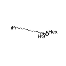 CCCCCCOC(CO)COCCCCCCCCCCCCCCCC(C)C